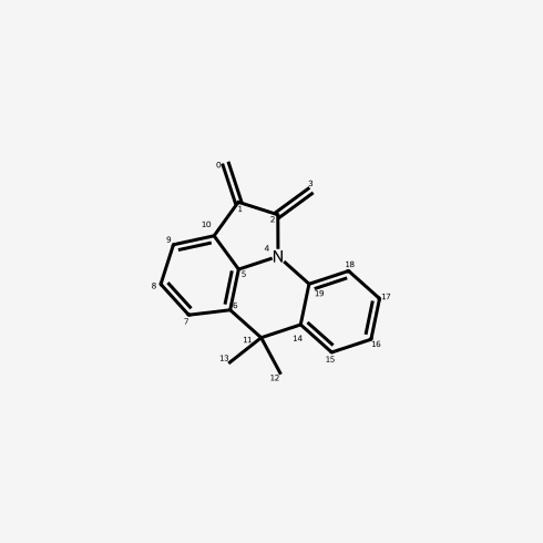 C=c1c(=C)n2c3c(cccc13)C(C)(C)c1ccccc1-2